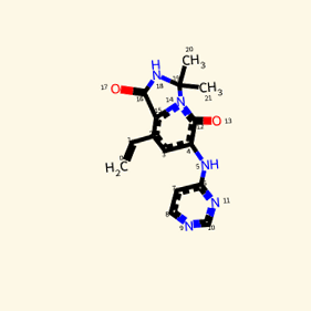 C=Cc1cc(Nc2ccncn2)c(=O)n2c1C(=O)NC2(C)C